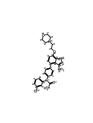 NC(=O)N(c1ccc(-c2ccc(OCCN3CCOCC3)c3[nH]nc(N)c23)cc1)c1cccc(Cl)c1